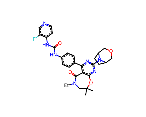 CCN1CC(C)(C)Oc2nc(N3C4CCC3COC4)nc(-c3ccc(NC(=O)Nc4ccncc4F)cc3)c2C1=O